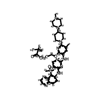 Cc1cc(Nc2nccc(Nc3ccc4nccnc4c3P(C)(C)=O)n2)c(OCC(F)(F)F)nc1N1CCC(N2CCN(C)CC2)CC1.O=C(O)C(F)(F)F